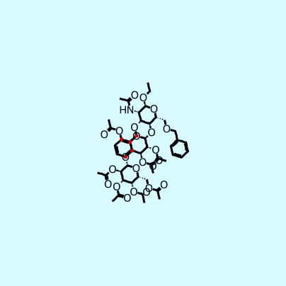 CCO[C@H]1O[C@H](COCc2ccccc2)[C@@H](O[C@@H]2O[C@H](COC(C)=O)[C@H](O[C@@H]3O[C@H](COC(C)=O)[C@H](OC(C)=O)[C@H](OC(C)=O)[C@H]3OC(C)=O)[C@H](OC(C)=O)[C@H]2OC(C)=O)[C@H](OCc2ccccc2)[C@@H]1NC(C)=O